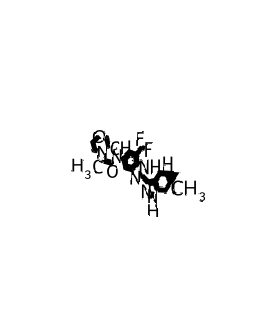 CC(C(=O)N(C)c1cc(C(F)F)c2[nH]c(-c3n[nH]c4c3C[C@@H]3C[C@]3(C)C4)nc2c1)N1CCOCC1